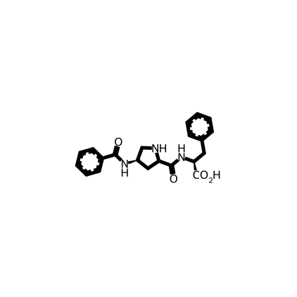 O=C(N[C@H]1CNC(C(=O)N[C@@H](Cc2ccccc2)C(=O)O)C1)c1ccccc1